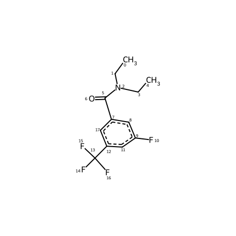 CCN(CC)C(=O)c1cc(F)cc(C(F)(F)F)c1